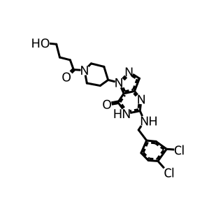 O=C(CCCO)N1CCC(n2ncc3nc(NCc4ccc(Cl)c(Cl)c4)[nH]c(=O)c32)CC1